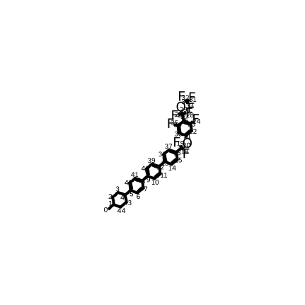 CC1CCC(c2ccc(-c3ccc(-c4ccc(C(F)(F)Oc5cc(F)c(C(F)(F)OC(F)(F)F)c(F)c5)cc4)cc3)cc2)CC1